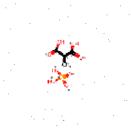 CC(C(=O)O)C(=O)O.O=P(O)(O)O